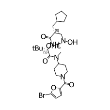 CN(C(=O)[C@@H](NC(=O)[C@H](CC1CCCC1)CN(O)C=O)C(C)(C)C)C1CCN(C(=O)c2ccc(Br)o2)CC1